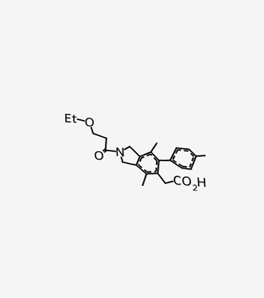 CCOCCC(=O)N1Cc2c(C)c(CC(=O)O)c(-c3ccc(C)cc3)c(C)c2C1